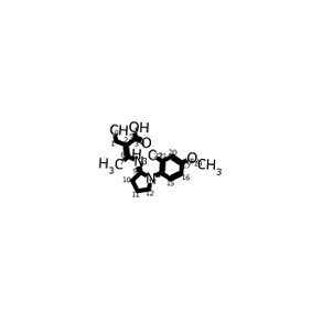 CC/C(C(=O)O)=C(C)/N=C1\CCCN1c1ccc(OC)cc1C